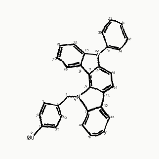 CCC(C)c1ccc(Cn2c3ccccc3c3ccc4c(c5ccccc5n4-c4ccccc4)c32)cc1